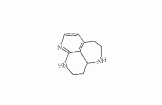 c1cc2c3c(n1)NCCC3NCC2